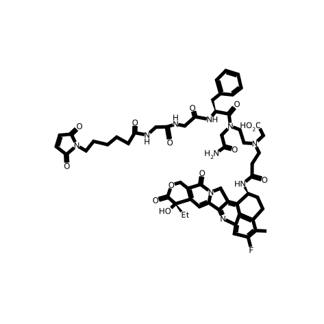 CC[C@@]1(O)C(=O)OCc2c1cc1n(c2=O)Cc2c-1nc1cc(F)c(C)c3c1c2[C@@H](NC(=O)CCN(CCN(CC(N)=O)C(=O)[C@H](Cc1ccccc1)NC(=O)CNC(=O)CNC(=O)CCCCCN1C(=O)C=CC1=O)CC(=O)O)CC3